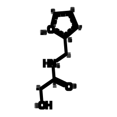 O=C(CO)NCc1ccco1